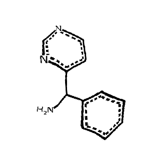 NC(c1ccccc1)c1ccncn1